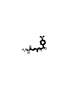 CC(/C=C/C(=O)NN)=C\[C@@H](C)C(=O)c1ccc(N(C)C)cc1